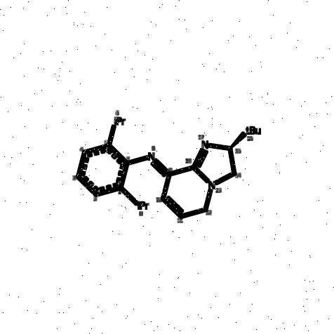 CC(C)c1cccc(C(C)C)c1/N=C1\C=CCN2C[C@H](C(C)(C)C)N=C12